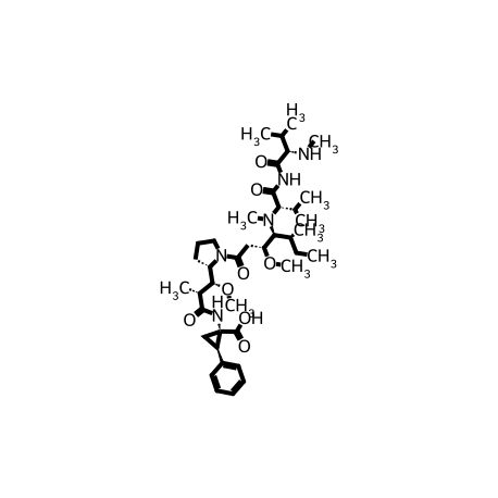 CC[C@H](C)[C@@H]([C@@H](CC(=O)N1CCC[C@H]1[C@H](OC)[C@@H](C)C(=O)N[C@@]1(C(=O)O)C[C@@H]1c1ccccc1)OC)N(C)[C@H](C(=O)NC(=O)[C@@H](NC)C(C)C)C(C)C